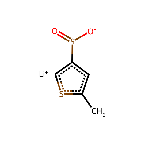 Cc1cc(S(=O)[O-])cs1.[Li+]